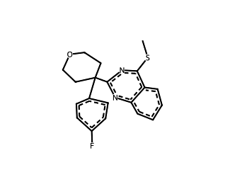 CSc1nc(C2(c3ccc(F)cc3)CCOCC2)nc2ccccc12